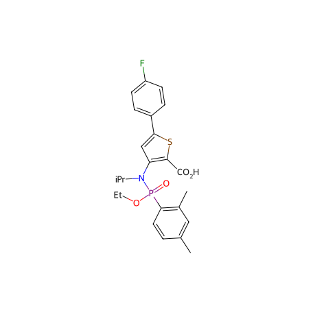 CCOP(=O)(c1ccc(C)cc1C)N(c1cc(-c2ccc(F)cc2)sc1C(=O)O)C(C)C